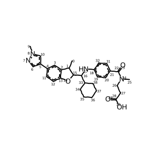 CC1c2cc(-c3cnn(C)c3)ccc2OC1C(Nc1ccc(C(=O)N(C)CCC(=O)O)cc1)C1CCCCC1